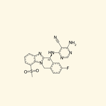 CS(=O)(=O)c1cccc2nc3n(c12)Cc1ccc(F)cc1[C@@H]3Nc1ncnc(N)c1C#N